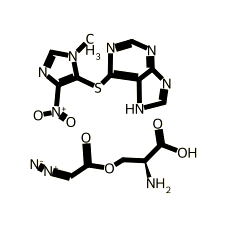 Cn1cnc([N+](=O)[O-])c1Sc1ncnc2nc[nH]c12.[N-]=[N+]=CC(=O)OC[C@H](N)C(=O)O